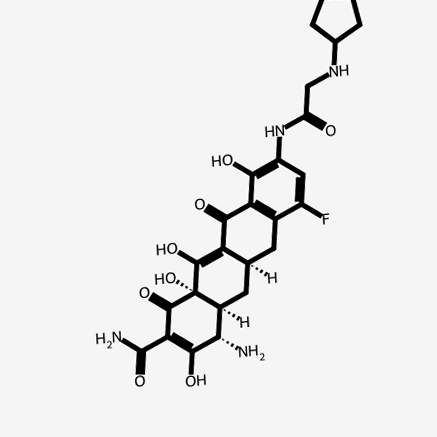 NC(=O)C1=C(O)[C@@H](N)[C@@H]2C[C@@H]3Cc4c(F)cc(NC(=O)CNC5CCCC5)c(O)c4C(=O)C3=C(O)[C@]2(O)C1=O